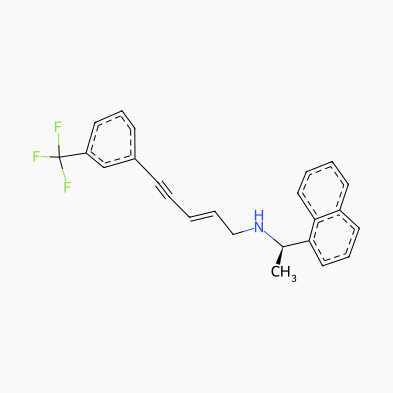 C[C@@H](NC/C=C/C#Cc1cccc(C(F)(F)F)c1)c1cccc2ccccc12